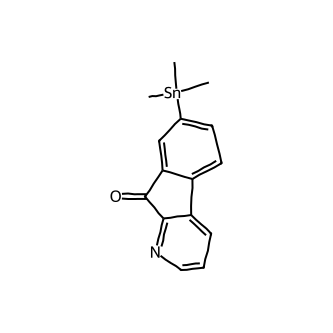 [CH3][Sn]([CH3])([CH3])[c]1ccc2c(c1)C(=O)c1ncccc1-2